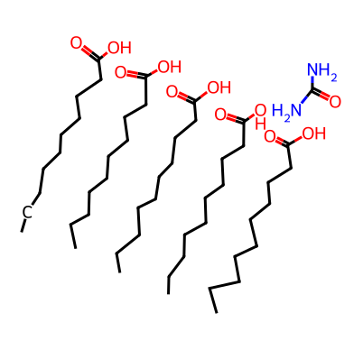 CCCCCCCCCC(=O)O.CCCCCCCCCC(=O)O.CCCCCCCCCC(=O)O.CCCCCCCCCC(=O)O.CCCCCCCCCC(=O)O.NC(N)=O